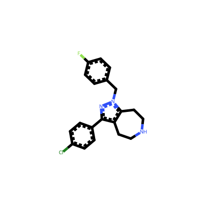 Fc1ccc(Cn2nc(-c3ccc(Cl)cc3)c3c2CCNCC3)cc1